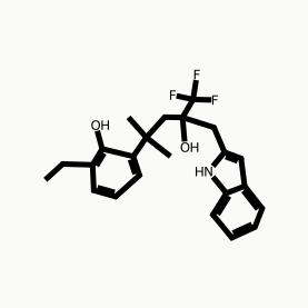 CCc1cccc(C(C)(C)CC(O)(Cc2cc3ccccc3[nH]2)C(F)(F)F)c1O